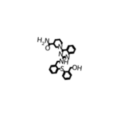 NC(=O)C1CCCN(c2nc(NCc3ccccc3Sc3ccccc3CO)nc3ccccc23)C1